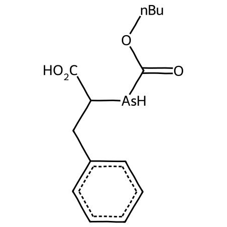 CCCCOC(=O)[AsH]C(Cc1ccccc1)C(=O)O